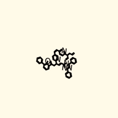 C=CCC(C=C)c1ccc(/C=C\c2ccc(C(/C=C/c3nc(-c4ccccc4)nc(-c4ccccc4)n3)Cc3coc4c(-c5ccccc5)cccc34)nc2)cn1